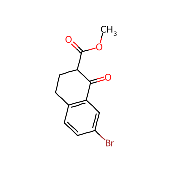 COC(=O)C1CCc2ccc(Br)cc2C1=O